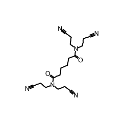 N#CCCN(CCC#N)C(=O)CCCCC(=O)N(CCC#N)CCC#N